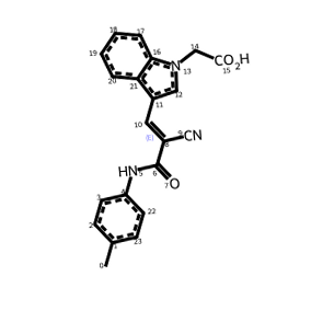 Cc1ccc(NC(=O)/C(C#N)=C/c2cn(CC(=O)O)c3ccccc23)cc1